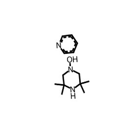 CC1(C)CN(O)CC(C)(C)N1.c1ccncc1